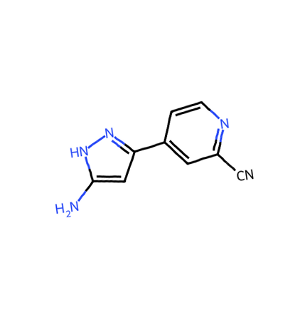 N#Cc1cc(-c2cc(N)[nH]n2)ccn1